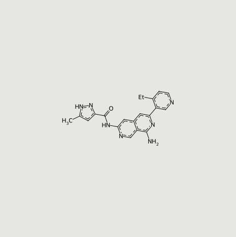 CCc1ccncc1-c1cc2cc(NC(=O)c3cc(C)[nH]n3)ncc2c(N)n1